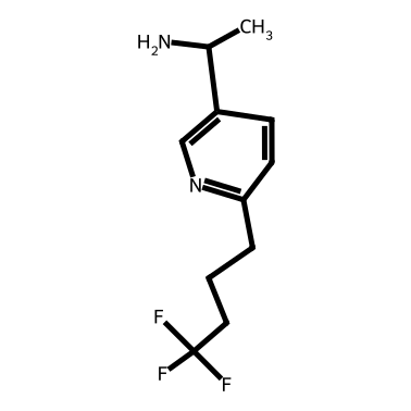 CC(N)c1ccc(CCCC(F)(F)F)nc1